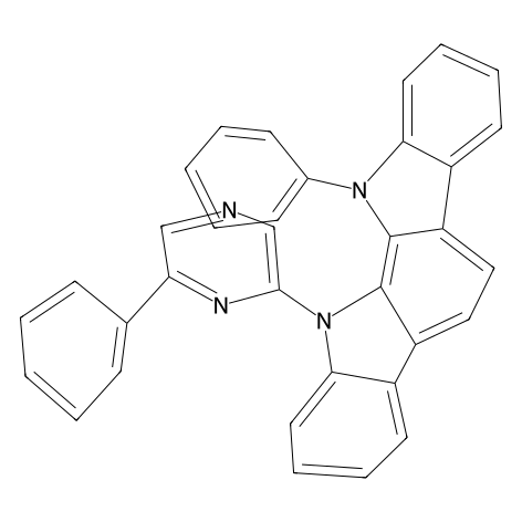 c1ccc(-c2cncc(-n3c4ccccc4c4ccc5c6ccccc6n(-c6ccccc6)c5c43)n2)cc1